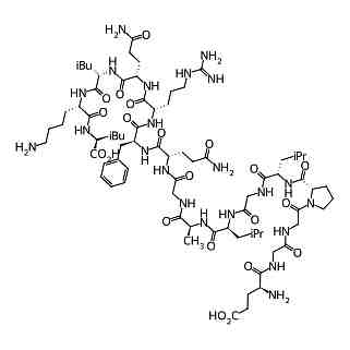 CC[C@H](C)[C@H](NC(=O)[C@H](CCCCN)NC(=O)[C@@H](NC(=O)[C@H](CCC(N)=O)NC(=O)[C@H](CCCNC(=N)N)NC(=O)[C@H](Cc1ccccc1)NC(=O)[C@H](CCC(N)=O)NC(=O)CNC(=O)[C@H](C)NC(=O)[C@H](CC(C)C)NC(=O)CNC(=O)[C@H](CC(C)C)NC(=O)[C@@H]1CCCN1C(=O)CNC(=O)CNC(=O)[C@@H](N)CCC(=O)O)[C@@H](C)CC)C(=O)O